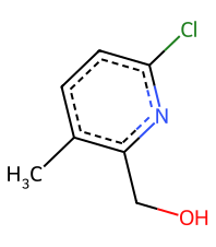 Cc1ccc(Cl)nc1CO